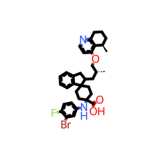 C[C@@H](COc1ccnc2c1[C@H](C)CCC2)CC1Cc2ccccc2C12CCC(Nc1ccc(F)c(Br)c1)(C(=O)O)CC2